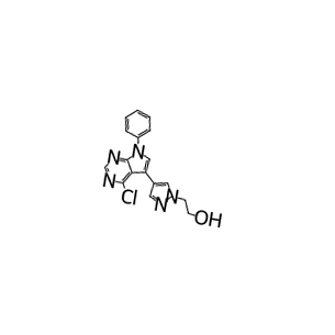 OCCn1cc(-c2cn(-c3ccccc3)c3ncnc(Cl)c23)cn1